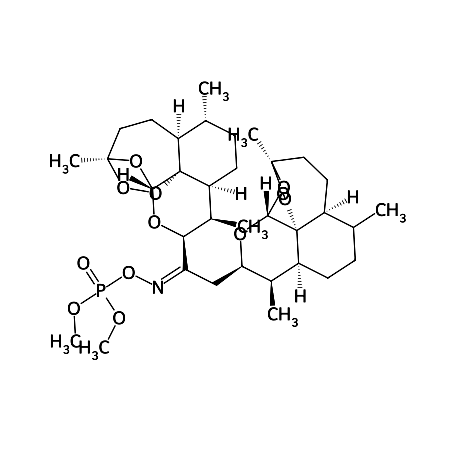 COP(=O)(OC)O/N=C(/C[C@H]1O[C@@H]2O[C@]3(C)CC[C@H]4C(C)CC[C@@H]([C@H]1C)[C@@]24OO3)[C@H]1O[C@@H]2O[C@]3(C)CC[C@H]4[C@H](C)CC[C@@H]([C@H]1C)[C@@]24OO3